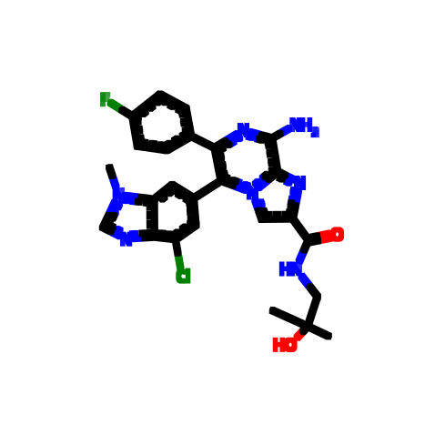 Cn1cnc2c(Cl)cc(-c3c(-c4ccc(F)cc4)nc(N)c4nc(C(=O)NCC(C)(C)O)cn34)cc21